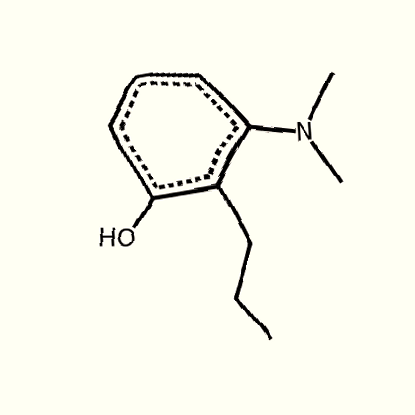 CCCc1c(O)cccc1N(C)C